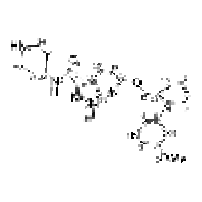 COc1cncc(-c2ccccc2COc2ccc3c(C(=O)NC4CCNCC4)nn(C)c3n2)c1